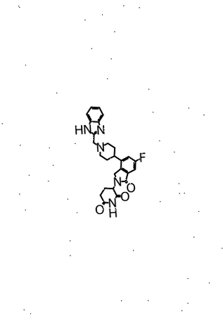 O=C1CCC(N2Cc3c(cc(F)cc3C3CCN(Cc4nc5ccccc5[nH]4)CC3)C2=O)C(=O)N1